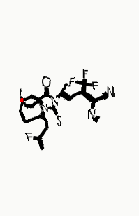 C=N/C(C#N)=C(\C=C(/C)N1C(=O)C2(CCC2)N(C(/C=C\CI)=C/C(=C)F)C1=S)C(F)(F)F